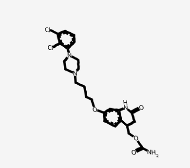 NC(=O)OCC1CC(=O)Nc2cc(OCCCCN3CCN(c4cccc(Cl)c4Cl)CC3)ccc21